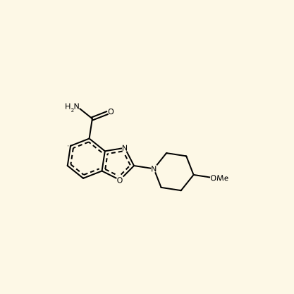 COC1CCN(c2nc3c(C(N)=O)[c]ccc3o2)CC1